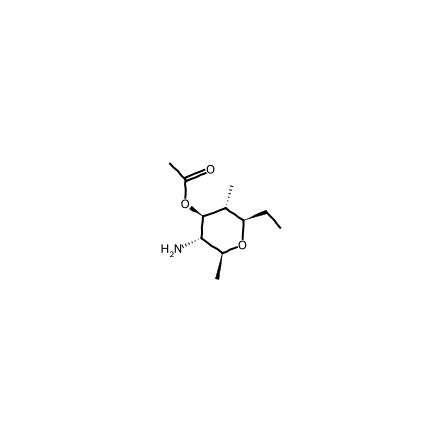 CC[C@H]1O[C@@H](C)[C@H](N)[C@@H](OC(C)=O)[C@@H]1C